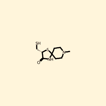 CN1CCC2(CC1)NC(=O)[C@H](CS)S2